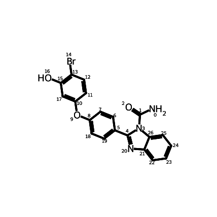 NC(=O)n1c(-c2ccc(Oc3ccc(Br)c(O)c3)cc2)nc2ccccc21